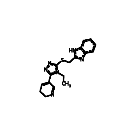 CCn1c(SCc2nc3ccccc3[nH]2)nnc1C1=CCCN=C1